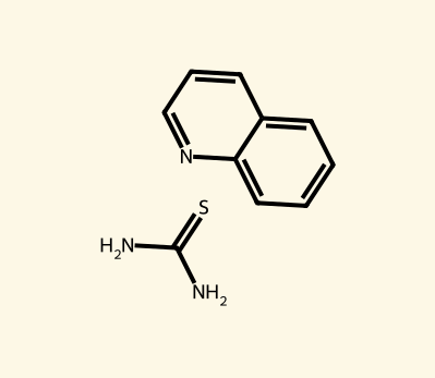 NC(N)=S.c1ccc2ncccc2c1